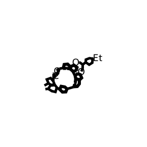 CCC1CCC(C2COc3ccc4ccc5cc4c3-c3c(ccc4ccc(cc34)-c3ccc(cc3)C3CCC(C)C4=C3C(CCC4C)c3ccc-5cc3)OC2)CC1